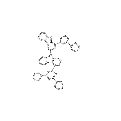 c1ccc(-c2cccc(-c3cc(-n4c5ccccc5c5c(-c6nc(-c7ccccc7)nc(-c7ccccc7)n6)cccc54)cc4c3oc3ccccc34)c2)cc1